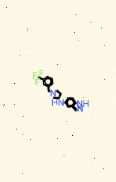 FC(F)(F)c1cccc(CN2CCC(Nc3ccc4[nH]ncc4c3)C2)c1